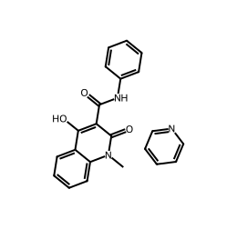 Cn1c(=O)c(C(=O)Nc2ccccc2)c(O)c2ccccc21.c1ccncc1